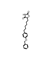 O=C1NC(=O)C(CCCCCCc2ccc(OCc3ccccc3)cc2)O1